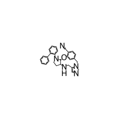 N#Cc1ccc(Cn2cncc2CN[C@H]2CCN(c3ccccc3-c3ccccc3)C2=O)cc1